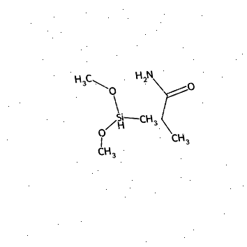 CCC(N)=O.CO[SiH](C)OC